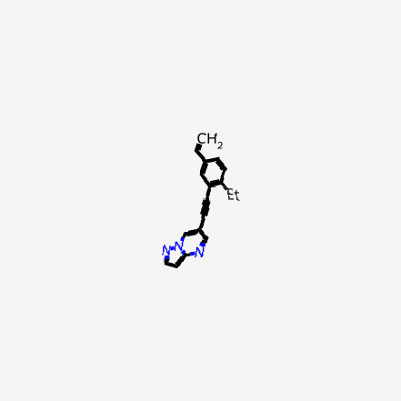 C=Cc1ccc(CC)c(C#Cc2cnc3ccnn3c2)c1